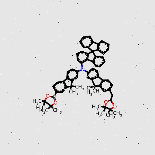 CC1(C)c2cc(CC3OC(C)(C)C(C)(C)O3)ccc2-c2ccc(N(c3ccc4c(c3)C(C)(C)c3cc(B5OC(C)(C)C(C)(C)O5)ccc3-4)c3cccc4c3-c3ccccc3C43c4ccccc4-c4ccccc43)cc21